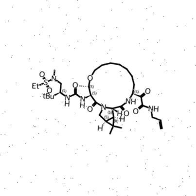 C=CCNC(=O)C(=O)[C@@H]1CCCCCCCO[C@@H](C)[C@H](NC(=O)N[C@H](CN(C)S(=O)(=O)CC)C(C)(C)C)C(=O)N2C[C@H]3[C@@H]([C@H]2C(=O)N1)C3(C)C